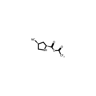 N#C[C@@H]1CN[C@H](C(=O)OC(=O)C(F)(F)F)C1